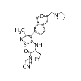 Cc1nsc(N[C@@H](CC(C)C)C(=O)NCC#N)c1-c1ccc2cc(CN3CCCC3)ccc2c1